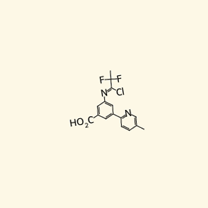 Cc1ccc(-c2cc(N=C(Cl)C(C)(F)F)cc(C(=O)O)c2)nc1